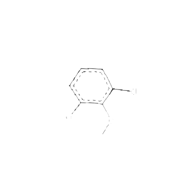 COc1c([O])cccc1Cl